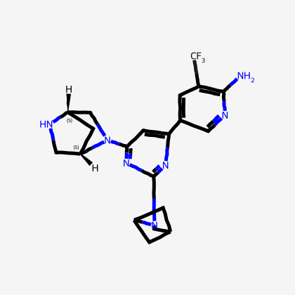 Nc1ncc(-c2cc(N3C[C@@H]4C[C@H]3CN4)nc(N3CC4CC3C4)n2)cc1C(F)(F)F